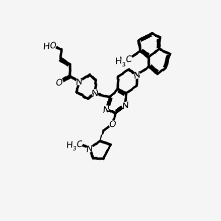 Cc1cccc2cccc(N3CCc4c(nc(OC[C@H]5CCCN5C)nc4N4CCN(C(=O)/C=C/CO)CC4)C3)c12